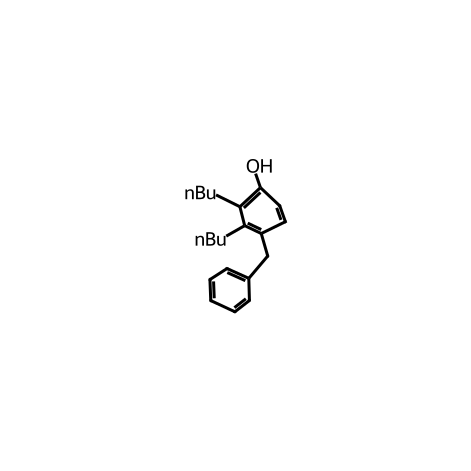 CCCCc1c(O)ccc(Cc2ccccc2)c1CCCC